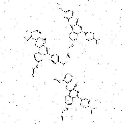 C#CCOc1ccc2c(c1)c(-c1ccc(C(C)C)cc1)nc(=O)n2Cc1c(O)cccc1OC.C#CCOc1ccc2c(c1)c(-c1ccc(C(C)C)cc1)nc(=O)n2Cc1cccc(OCC)c1.C#CCOc1ccc2c(c1)c(-c1ccc(C(C)C)cc1)nc(=O)n2Cc1ccccc1OCC